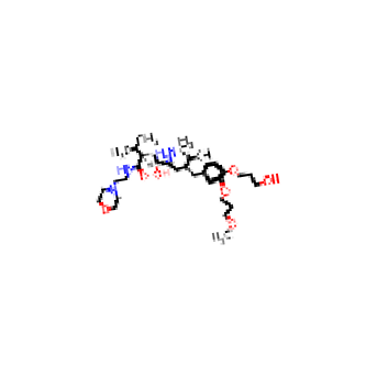 COCCCOc1cc(C[C@@H](C[C@H](N)[C@@H](O)C[C@H](C(=O)NCCN2CCOCC2)C(C)C)C(C)C)ccc1OCCCO